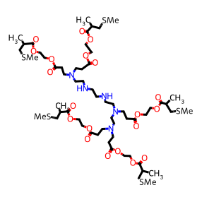 CSCC(C)C(=O)OCCOC(=O)CCN(CCNCCNCCN(CCC(=O)OCCOC(=O)C(C)CSC)CCN(CCC(=O)OCCOC(=O)C(C)CSC)CCC(=O)OCCOC(=O)C(C)CSC)CCC(=O)OCCOC(=O)C(C)CSC